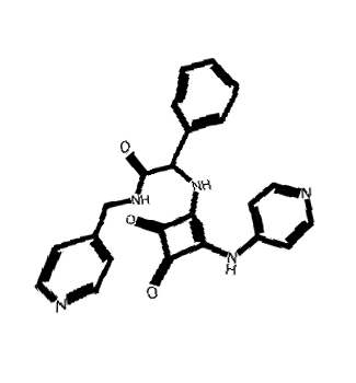 O=C(NCc1ccncc1)C(Nc1c(Nc2ccncc2)c(=O)c1=O)c1ccccc1